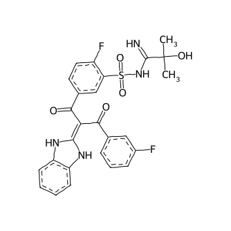 CC(C)(O)C(=N)NS(=O)(=O)c1cc(C(=O)C(C(=O)c2cccc(F)c2)=C2Nc3ccccc3N2)ccc1F